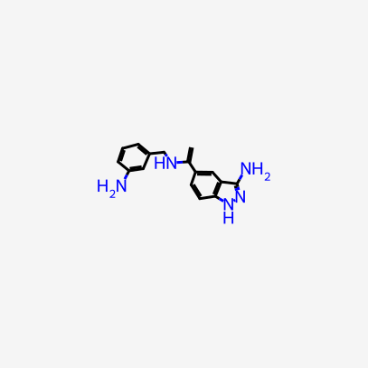 C=C(NCc1cccc(N)c1)c1ccc2[nH]nc(N)c2c1